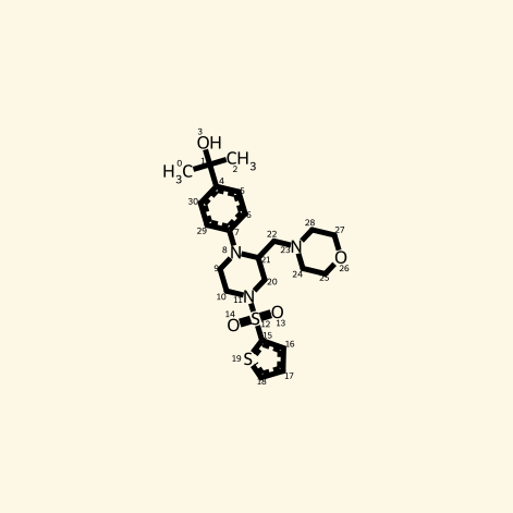 CC(C)(O)c1ccc(N2CCN(S(=O)(=O)c3cccs3)CC2CN2CCOCC2)cc1